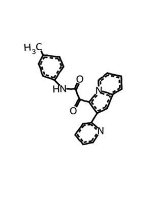 Cc1ccc(NC(=O)C(=O)c2c(-c3ccccn3)cc3ccccn23)cc1